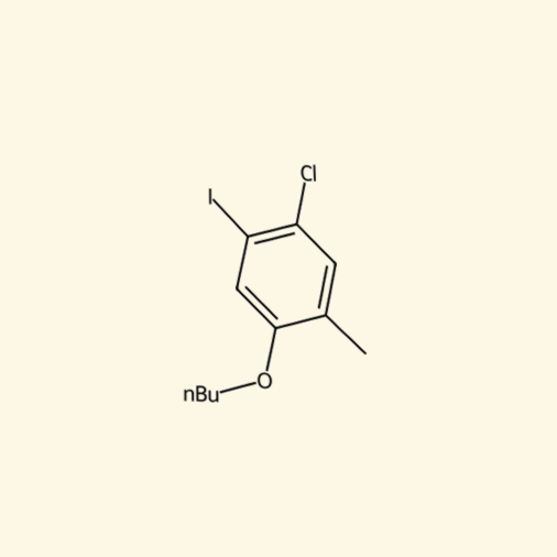 CCCCOc1cc(I)c(Cl)cc1C